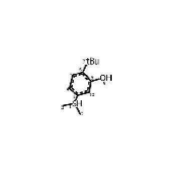 C[SH](C)c1ccc(C(C)(C)C)c(O)c1